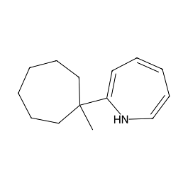 CC1(C2=CC=CC=CN2)CCCCCC1